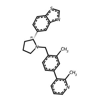 Cc1cc(-c2cccnc2C)ccc1CN1CCC[C@@H]1c1ccc2scnc2c1